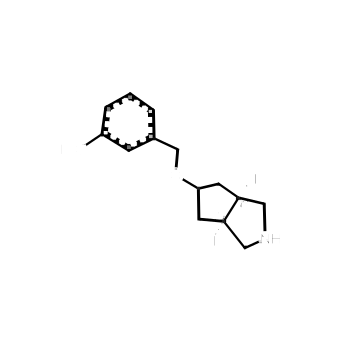 FC(F)(F)c1cccc(COC2C[C@H]3CNC[C@H]3C2)c1